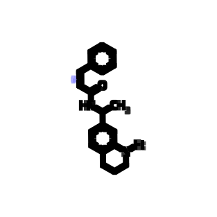 CCN1CCCc2ccc(C(C)NC(=O)/C=C\c3ccccc3)cc21